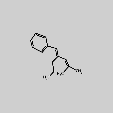 CCC/C(C=C(C)C)=C\c1ccccc1